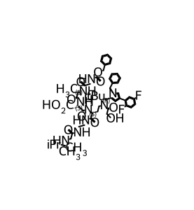 CC(C)C(C)(C)NCC(=O)NCCNC(=O)[C@H](CCN(C(=O)CO)[C@@H](c1cc(-c2cc(F)ccc2F)cn1Cc1ccccc1)C(C)(C)C)NC(=O)[C@H](CC(=O)O)NC(=O)[C@H](C)NC(=O)CNC(=O)OCc1ccccc1